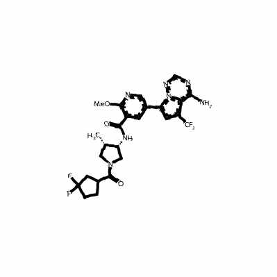 COc1ncc(-c2cc(C(F)(F)F)c3c(N)ncnn23)cc1C(=O)N[C@@H]1CN(C(=O)C2CCC(F)(F)C2)C[C@@H]1C